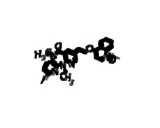 CCN1c2ncc(CCOc3cc[n+]([O-])c4ccccc34)cc2C(=O)N(C)c2ccc(F)nc21